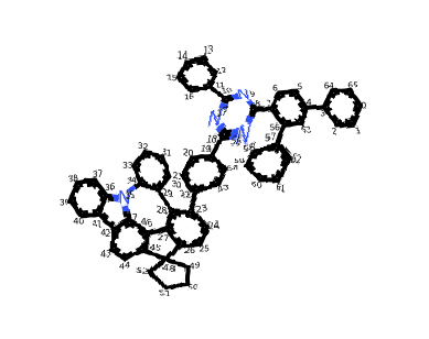 c1ccc(-c2ccc(-c3nc(-c4ccccc4)nc(-c4ccc(-c5ccc6c7c5-c5ccccc5-n5c8ccccc8c8ccc(c-7c85)C65CCCC5)cc4)n3)c(-c3ccccc3)c2)cc1